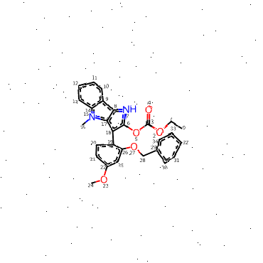 CCOC(=O)Oc1[nH]c2c3ccccc3n(C)c2c1-c1ccc(OC)cc1OCc1ccccc1